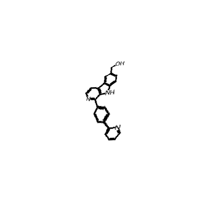 OCc1ccc2[nH]c3c(-c4ccc(-c5ccccn5)cc4)nccc3c2c1